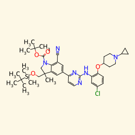 CC(C)(C)OC(=O)N1CC(C)(CO[Si](C)(C)C(C)(C)C)c2cc(-c3ccnc(Nc4cc(Cl)ccc4OC4CCN(C5CC5)CC4)n3)cc(C#N)c21